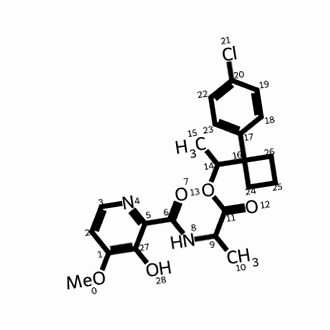 COc1ccnc(C(=O)NC(C)C(=O)OC(C)C2(c3ccc(Cl)cc3)CCC2)c1O